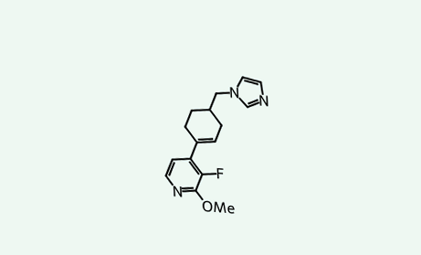 COc1nccc(C2=CCC(Cn3ccnc3)CC2)c1F